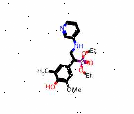 CCOP(=O)(OCC)C(CNc1cccnc1)c1cc(C)c(O)c(OC)c1